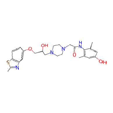 Cc1nc2cc(OCC(O)CN3CCN(CC(=O)Nc4c(C)cc(O)cc4C)CC3)ccc2s1